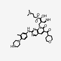 Cc1cc(Nc2ncc3cc(C(=O)C4CCOCC4)c(=O)n(C/C(C=N)=C(/O)S(=O)(=O)CCN(C)C)c3n2)ccc1N1CCNCC1